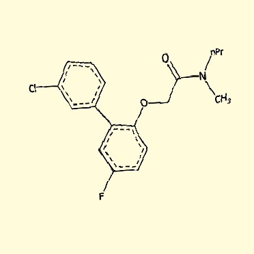 [CH2]CCN(C)C(=O)COc1ccc(F)cc1-c1cccc(Cl)c1